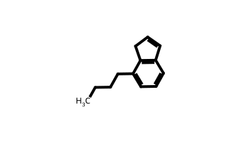 CCCCc1cccc2c1CC=C2